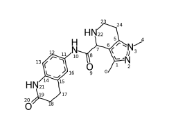 Cc1nn(C)c2c1C(C(=O)Nc1ccc3c(c1)CCC(=O)N3)NCC2